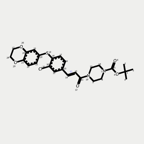 CC(C)(C)OC(=O)N1CCN(C(=O)/C=C/c2ccc(Sc3ccc4c(c3)OCCO4)c(Cl)c2)CC1